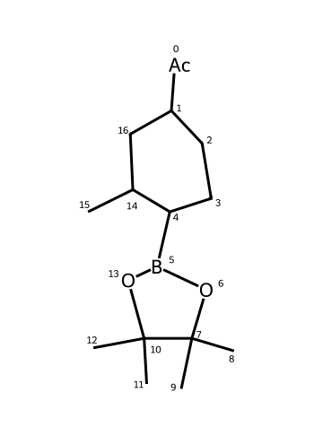 CC(=O)C1CCC(B2OC(C)(C)C(C)(C)O2)C(C)C1